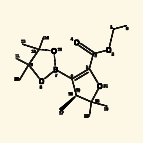 CCOC(=O)C1=C(B2OC(C)(C)C(C)(C)O2)[C@H](C)C(C)(C)O1